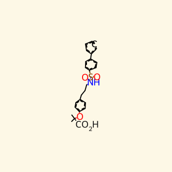 CC(C)(Oc1ccc(CCCNS(=O)(=O)c2ccc(-c3ccccc3)cc2)cc1)C(=O)O